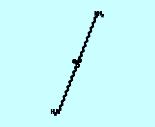 NCCCCCCCCCCCCCCCCCCO[N+](=O)OCCCCCCCCCCCCCCCCCCN